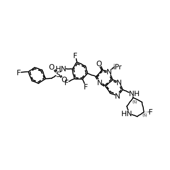 CC(C)n1c(=O)c(-c2cc(F)c(NS(=O)(=O)Cc3ccc(F)cc3)c(F)c2F)nc2cnc(N[C@@H]3CNC[C@@H](F)C3)nc21